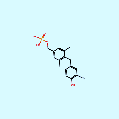 Cc1cc(COP(=O)(O)O)cc(C)c1Cc1ccc(O)c(C(C)C)c1